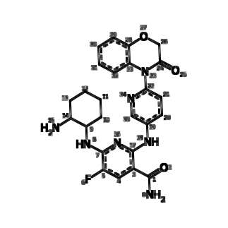 NC(=O)c1cc(F)c(NC2CCCCC2N)nc1Nc1ccc(N2C(=O)COc3ccccc32)nc1